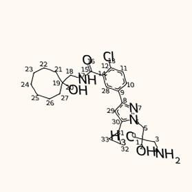 CC(O)(CN)Cn1nc(-c2ccc(Cl)c(C(=O)NCC3(O)CCCCCCC3)c2)cc1C1CC1